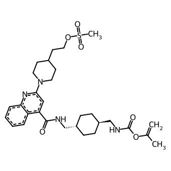 C=C(C)OC(=O)NC[C@H]1CC[C@H](CNC(=O)c2cc(N3CCC(CCOS(C)(=O)=O)CC3)nc3ccccc23)CC1